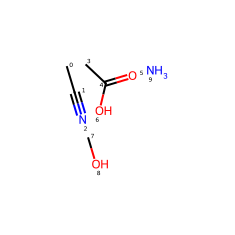 CC#N.CC(=O)O.CO.N